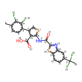 Cc1ccc(-c2csc(NC(=O)c3nc4cc(C(C)(F)F)ccc4s3)c2C(=O)O)c(F)c1F